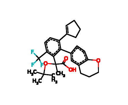 CC(C)(C)OC(C)(C(=O)O)c1c(C(F)(F)F)ccc(C2=CCCC2)c1-c1ccc2c(c1)CCCO2